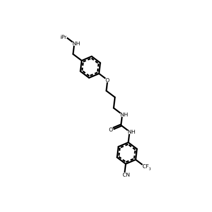 CC(C)NCc1ccc(OCCCNC(=O)Nc2ccc(C#N)c(C(F)(F)F)c2)cc1